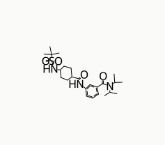 CC(C)N(C(=O)c1cccc(NC(=O)C2CCC(NS(=O)(=O)C(C)(C)C)CC2)c1)C(C)C